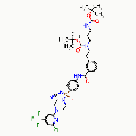 CC(C)(C)OC(=O)NCCCN(CCc1cccc(C(=O)Nc2ccc(S(=O)(=NC#N)N3CCN(c4cc(C(F)(F)F)cc(Cl)n4)CC3)cc2)c1)C(=O)OC(C)(C)C